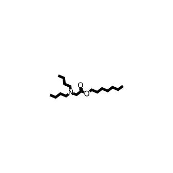 CCCCCCCOC(=O)CN(CCCC)CCCC